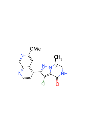 COc1cc2c(-c3nn4c(c3Cl)C(=O)NC[C@@H]4C)ccnc2cn1